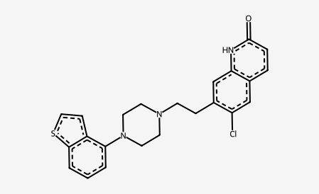 O=c1ccc2cc(Cl)c(CCN3CCN(c4cccc5sccc45)CC3)cc2[nH]1